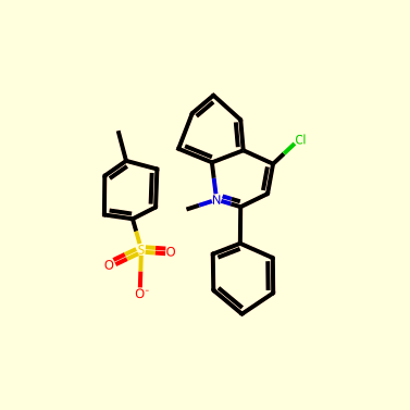 C[n+]1c(-c2ccccc2)cc(Cl)c2ccccc21.Cc1ccc(S(=O)(=O)[O-])cc1